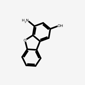 Nc1cc(O)cc2c1oc1ccccc12